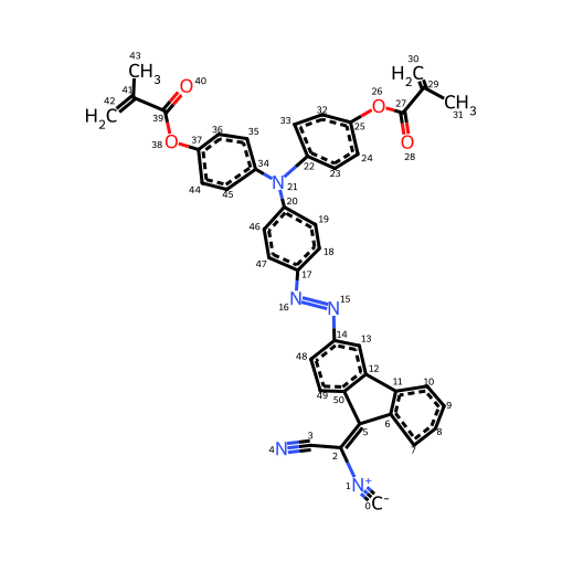 [C-]#[N+]/C(C#N)=C1\c2ccccc2-c2cc(/N=N/c3ccc(N(c4ccc(OC(=O)C(=C)C)cc4)c4ccc(OC(=O)C(=C)C)cc4)cc3)ccc21